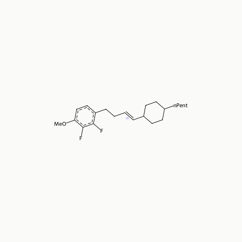 CCCCCC1CCC(/C=C/CCc2ccc(OC)c(F)c2F)CC1